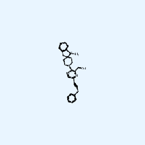 N[C@@H]1c2ccccc2CC12CCN(c1ncc(C#CCc3ccccc3)nc1CO)CC2